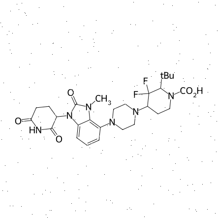 Cn1c(=O)n(C2CCC(=O)NC2=O)c2cccc(N3CCN(C4CCN(C(=O)O)C(C(C)(C)C)C4(F)F)CC3)c21